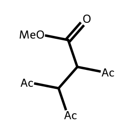 COC(=O)C(C(C)=O)C(C(C)=O)C(C)=O